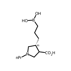 CCCN1CC(C(=O)O)[C@@H](CCCB(O)O)C1